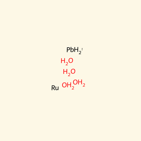 O.O.O.O.[PbH2].[Ru]